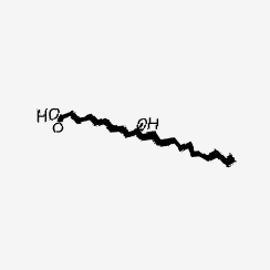 CCC=CCC=CCC=CC=C[C@H](O)CC=CCCCCCC(=O)O